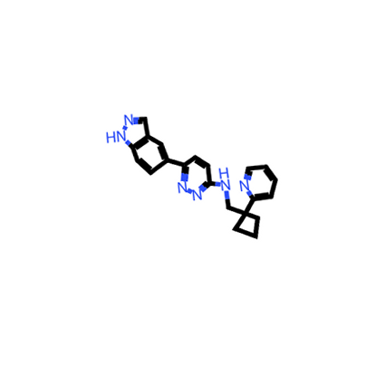 c1ccc(C2(CNc3ccc(-c4ccc5[nH]ncc5c4)nn3)CCC2)nc1